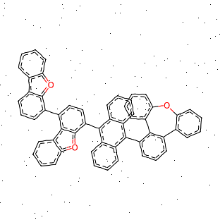 c1ccc2c(c1)Oc1ccccc1-c1c-2cccc1-c1c2ccccc2c(-c2ccc(-c3cccc4c3oc3ccccc34)c3c2oc2ccccc23)c2ccccc12